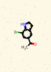 CC(=O)c1cc(Br)c2[nH]ccc2c1